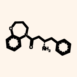 N[C@H](CC(=O)N1CCCOc2ccccc21)Cc1ccccc1